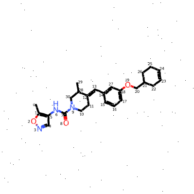 Cc1oncc1NC(=O)N1CC/C(=C\c2cccc(OCC3CC=CCC3)c2)C(C)C1